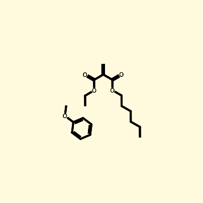 C=C(C(=O)OCC)C(=O)OCCCCCC.COc1ccccc1